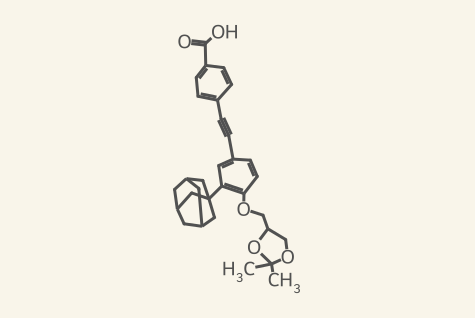 CC1(C)OCC(COc2ccc(C#Cc3ccc(C(=O)O)cc3)cc2C23CC4CC(CC(C4)C2)C3)O1